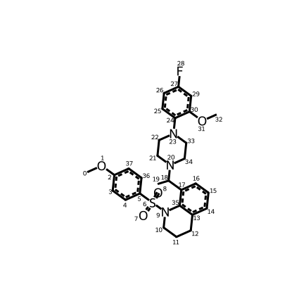 COc1ccc(S(=O)(=O)N2CCCc3cccc(C(C)N4CCN(c5ccc(F)cc5OC)CC4)c32)cc1